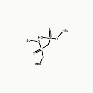 CCCCOP(=O)(O)CP(=O)(OCCCC)OCCCC